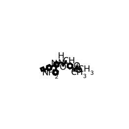 COC(=O)N(C)[C@H]1CC[C@H](C(C)C(=O)Nc2cnc(-c3ccc(C4(N)CCC4)cc3)c(-c3ccccc3)c2)CC1